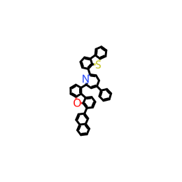 C1=C(c2ccccc2)CC=C(c2cccc3c2sc2ccccc23)N=C1c1cccc2oc3c(-c4ccc5ccccc5c4)cccc3c12